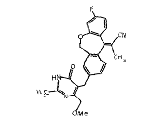 COCc1nc(C)[nH]c(=O)c1Cc1ccc2c(c1)COc1cc(F)ccc1/C2=C(/C)C#N